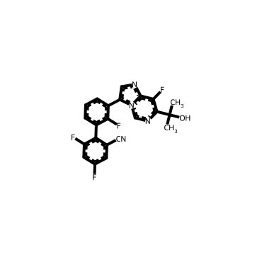 CC(C)(O)c1ncn2c(-c3cccc(-c4c(F)cc(F)cc4C#N)c3F)cnc2c1F